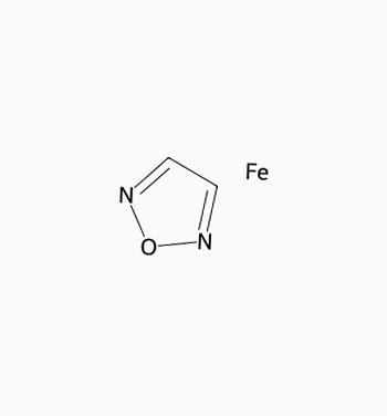 [Fe].c1cnon1